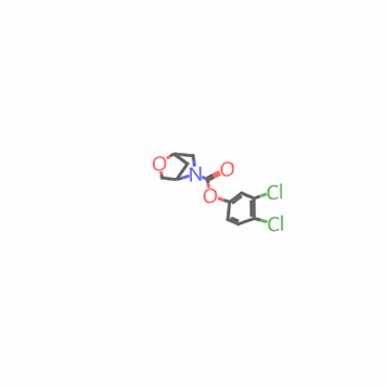 O=C(Oc1ccc(Cl)c(Cl)c1)N1CC2CC1CO2